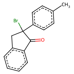 Cc1ccc(C2(Br)Cc3ccccc3C2=O)cc1